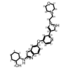 OC1CCCC[C@H]1Nc1nc2ccc(Oc3ccnc(C4=CN(CCN5CCOCC5)NC4)c3)cc2s1